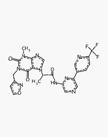 CC(C(=O)Nc1cncc(-c2ccc(C(F)(F)F)nc2)n1)n1cnc2c1c(=O)n(Cc1ccon1)c(=O)n2C